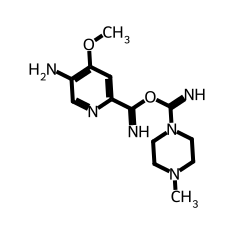 COc1cc(C(=N)OC(=N)N2CCN(C)CC2)ncc1N